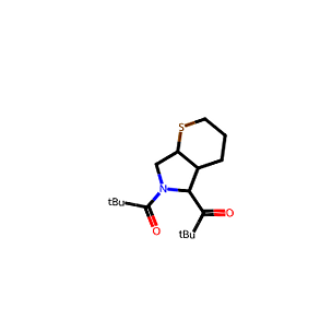 CC(C)(C)C(=O)C1C2CCCSC2CN1C(=O)C(C)(C)C